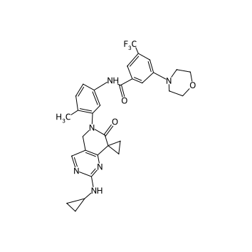 Cc1ccc(NC(=O)c2cc(N3CCOCC3)cc(C(F)(F)F)c2)cc1N1Cc2cnc(NC3CC3)nc2C2(CC2)C1=O